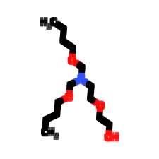 CCCCOCN(CCOCCO)COCCCC